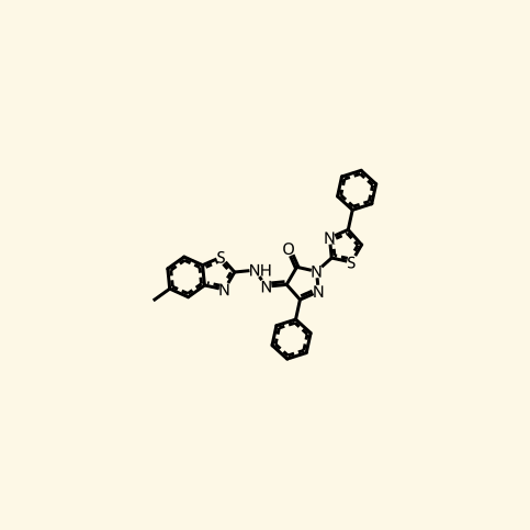 Cc1ccc2sc(N/N=C3\C(=O)N(c4nc(-c5ccccc5)cs4)N=C3c3ccccc3)nc2c1